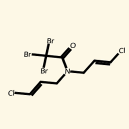 O=C(N(CC=CCl)CC=CCl)C(Br)(Br)Br